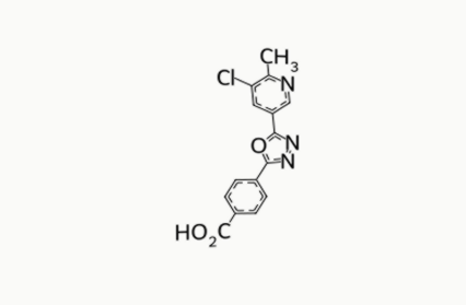 Cc1ncc(-c2nnc(-c3ccc(C(=O)O)cc3)o2)cc1Cl